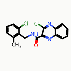 Cc1cccc(Cl)c1CNC(=O)c1nc2ccccc2nc1Cl